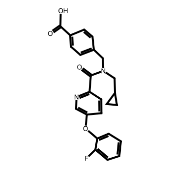 O=C(O)c1ccc(CN(CC2CC2)C(=O)c2ccc(Oc3ccccc3F)cn2)cc1